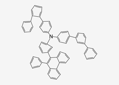 c1ccc(-c2cccc(-c3ccc(N(c4ccc(-c5ccccc5-c5ccccc5)cc4)c4cccc(-c5c(-c6ccccc6)c6ccccc6c6ccccc56)c4)cc3)c2)cc1